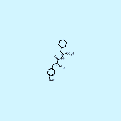 COc1ccc(C[C@H](N)C(=O)N[C@@H](CC2CCCCC2)C(=O)O)cc1